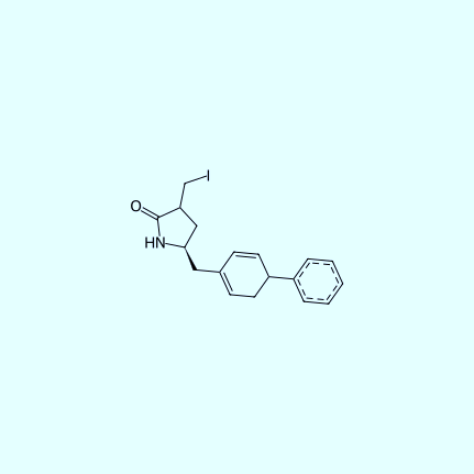 O=C1N[C@H](CC2=CCC(c3ccccc3)C=C2)CC1CI